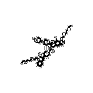 CCOCCOCCn1ncc2cc(CC(NC(=O)N3CCC(c4cc5ccccc5n(CCOCCOCC)c4=O)CC3)C(=O)N3CCN(C4CCN(C)CC4)CC3)cc(C)c21